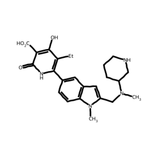 CCc1c(-c2ccc3c(c2)cc(CN(C)C2CCCNC2)n3C)[nH]c(=O)c(C(=O)O)c1O